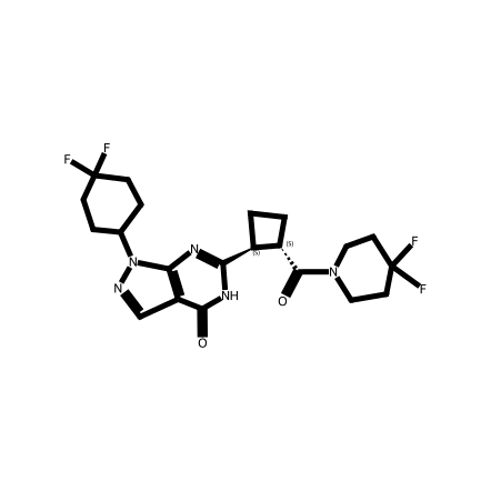 O=C([C@H]1CC[C@@H]1c1nc2c(cnn2C2CCC(F)(F)CC2)c(=O)[nH]1)N1CCC(F)(F)CC1